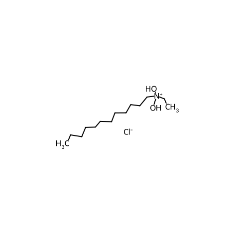 CCCCCCCCCCCC[N+](O)(O)CC.[Cl-]